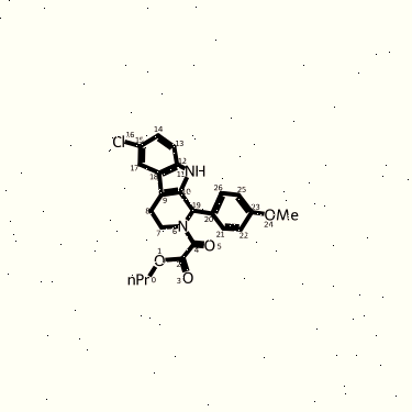 CCCOC(=O)C(=O)N1CCc2c([nH]c3ccc(Cl)cc23)C1c1ccc(OC)cc1